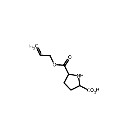 C=CCOC(=O)C1CCC(C(=O)O)N1